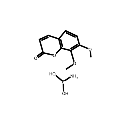 COc1ccc2ccc(=O)oc2c1OC.NP(O)O